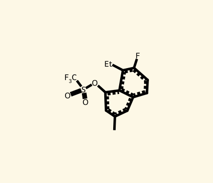 CCc1c(F)ccc2cc(C)cc(OS(=O)(=O)C(F)(F)F)c12